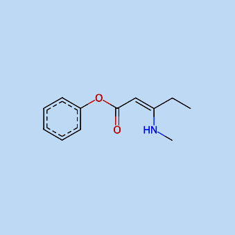 CCC(=CC(=O)Oc1ccccc1)NC